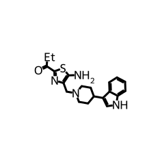 CCC(=O)c1nc(CN2CCC(c3c[nH]c4ccccc34)CC2)c(N)s1